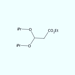 CCOC(=O)CC(OC(C)C)OC(C)C